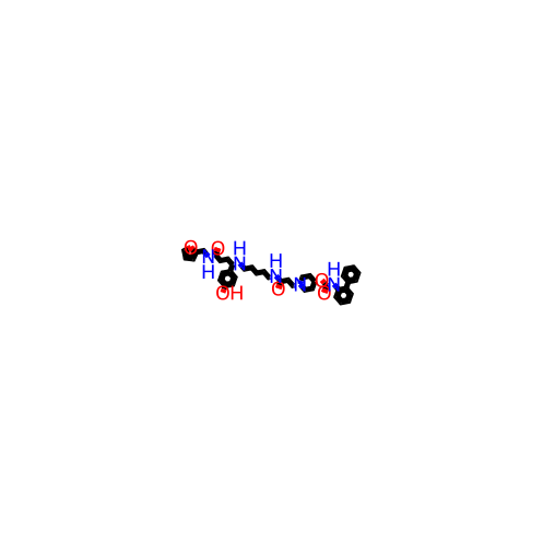 O=C(CCN1CCC(OC(=O)Nc2ccccc2-c2ccccc2)CC1)NCCCCCNC(CCC(=O)NCc1ccco1)c1ccc(O)cc1